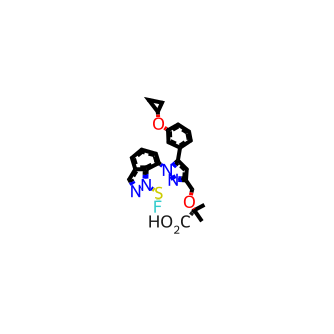 CC(C)(OCc1cc(-c2cccc(OC3CC3)c2)n(-c2cccc3cnn(SF)c23)n1)C(=O)O